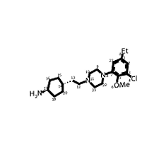 CCc1cc(Cl)c(OC)c(N2CCN(CC[C@H]3CC[C@H](N)CC3)CC2)c1